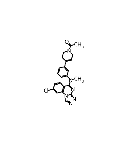 CC(=O)N1CC=C(c2cccc(N(C)c3nc4nncn4c4cc(Cl)ccc34)c2)CC1